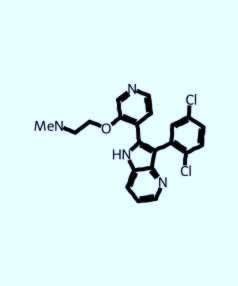 CNCCOc1cnccc1-c1[nH]c2cccnc2c1-c1cc(Cl)ccc1Cl